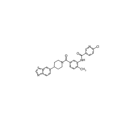 Cc1ccc(C(=O)N2CCC(c3ccc4ncsc4c3)CC2)cc1NC(=O)c1ccc(Cl)nc1